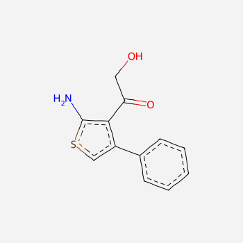 Nc1scc(-c2ccccc2)c1C(=O)CO